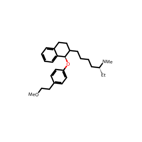 CC[C@H](CCCCC1CCc2ccccc2[C@@H]1Oc1ccc(CCOC)cc1)NC